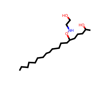 CCCCCCCCCCCCCC(CCCC(C)O)ONCCO